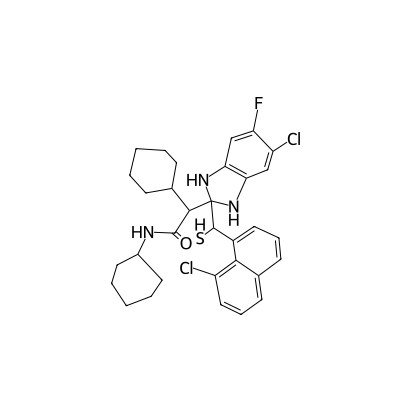 O=C(NC1CCCCC1)C(C1CCCCC1)C1(C(S)c2cccc3cccc(Cl)c23)Nc2cc(F)c(Cl)cc2N1